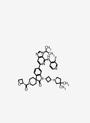 CC(C)n1cnc2cc(-c3ccc4c(c3)N([C@H]3C[C@@H](N5CCC(C)(C)C5)C3)C(=O)C43CCN(C(=O)[C@@H]4CCO4)CC3)nc(Nc3ccncc3F)c21